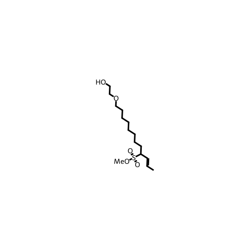 C/C=C/C(CCCCCCCCOCCO)S(=O)(=O)OC